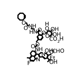 CC[C@](C)(O)C1=C(COC=O)C(O)N2Cc3c(nc4cc(F)c(C)c5c4c3[C@@H](NC(=O)OCc3ccc(O[C@@H]4O[C@H](C(=O)O)[C@@H](O)[C@H](O)[C@H]4O)c(C(=O)NCCNC(=O)COC4C#CCCCCC4)c3)CC5)C2=C1